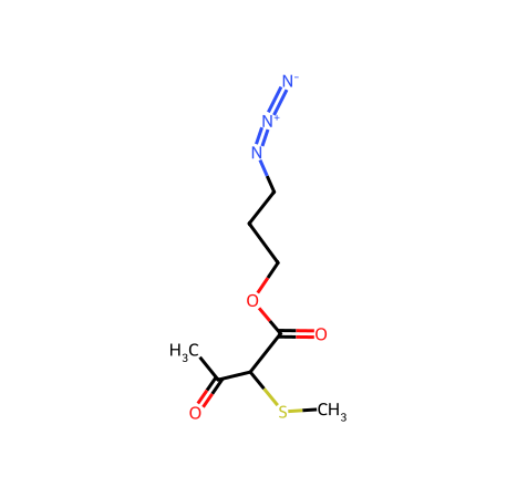 CSC(C(C)=O)C(=O)OCCCN=[N+]=[N-]